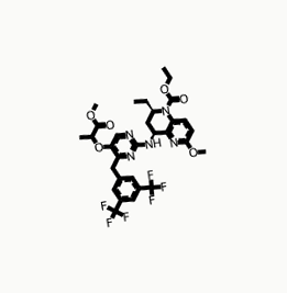 CCOC(=O)N1c2ccc(OC)nc2[C@@H](Nc2ncc(OC(C)C(=O)OC)c(Cc3cc(C(F)(F)F)cc(C(F)(F)F)c3)n2)C[C@H]1CC